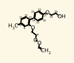 C=COOCCOc1cc(C)ccc1-c1ccc(OCCO)cc1